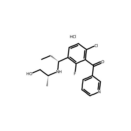 CC[C@@H](N[C@H](C)CO)c1ccc(Cl)c(C(=O)c2cccnc2)c1F.Cl